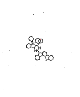 c1ccc(-c2nc(-n3c4ccccc4c4c5sc6ccccc6c5ccc43)nc3c2[Si](c2ccccc2)(c2ccccc2)c2ccccc2-3)cc1